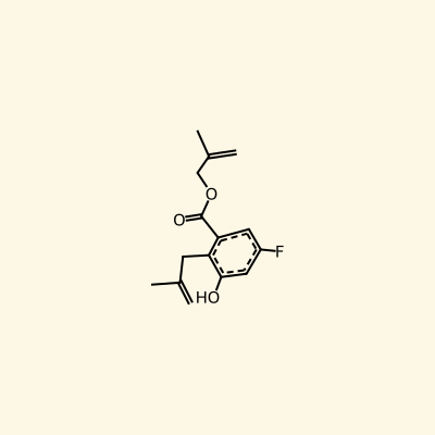 C=C(C)COC(=O)c1cc(F)cc(O)c1CC(=C)C